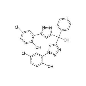 Oc1ccc(Cl)cc1-n1cc(C(O)(c2ccccc2)c2cn(-c3cc(Cl)ccc3O)nn2)nn1